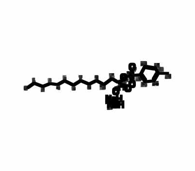 CCCCCCCCCCCCS(=O)(=O)OS(=O)(=O)c1ccc(C)cc1.[NaH].[NaH]